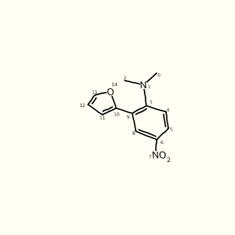 CN(C)c1ccc([N+](=O)[O-])cc1-c1ccco1